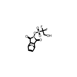 O=C1C2C3C=CC(O3)C2C(=O)N1OS(=O)(=O)C(F)(F)CO